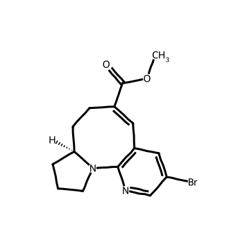 COC(=O)/C1=C/c2cc(Br)cnc2N2CCC[C@H]2CC1